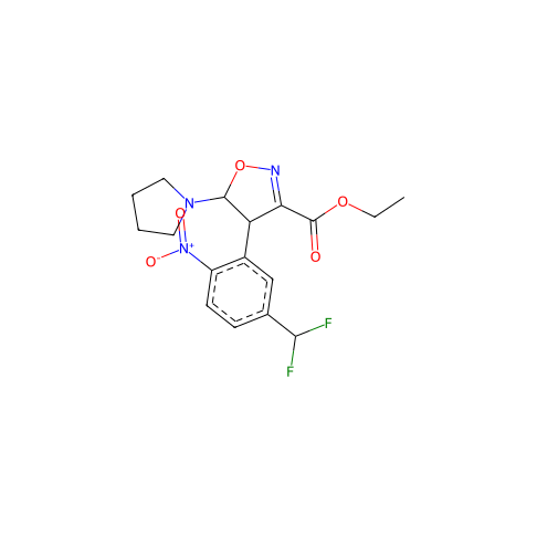 CCOC(=O)C1=NOC(N2CCCC2)C1c1cc(C(F)F)ccc1[N+](=O)[O-]